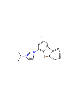 CC(C)[n+]1ccn(-c2cccc3c2sc2ccccc23)c1.[I-]